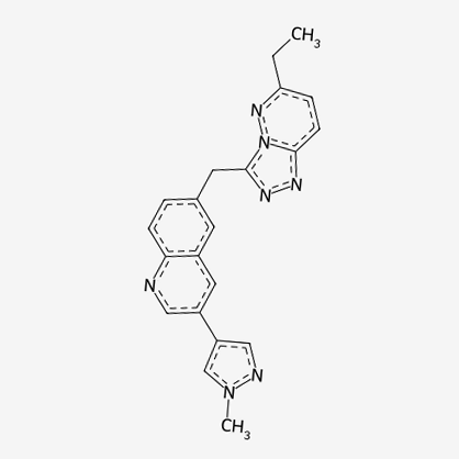 CCc1ccc2nnc(Cc3ccc4ncc(-c5cnn(C)c5)cc4c3)n2n1